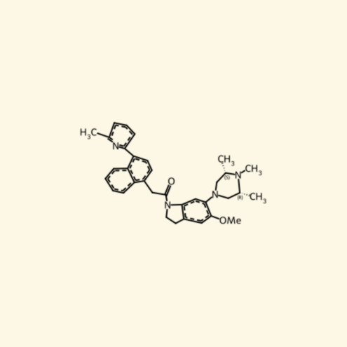 COc1cc2c(cc1N1C[C@@H](C)N(C)[C@@H](C)C1)N(C(=O)Cc1ccc(-c3cccc(C)n3)c3ccccc13)CC2